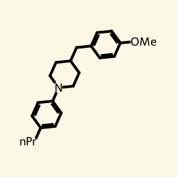 CCCc1ccc(N2CCC(Cc3ccc(OC)cc3)CC2)cc1